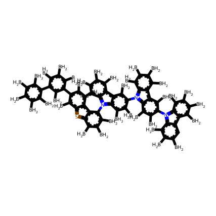 Bc1cc2c3c(B)c(B)c(B)c(B)c3n(-c3c(B)c(B)c4c(c3B)c3c(B)c(B)c(B)c(B)c3n4-c3c(B)c(B)c4c(c3B)c3c(B)c(B)c(B)c(B)c3n4-c3c(B)c(B)c(B)c4sc5c(B)c(-c6c(B)c(B)c(B)c(-c7c(B)c(B)c(B)c(B)c7B)c6B)c(B)c(B)c5c34)c2c(B)c1B